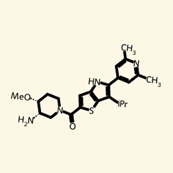 CO[C@@H]1CCN(C(=O)c2cc3[nH]c(-c4cc(C)nc(C)c4)c(C(C)C)c3s2)C[C@@H]1N